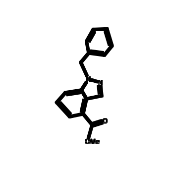 COC(=O)c1cccc2c1cnn2Cc1ccccc1